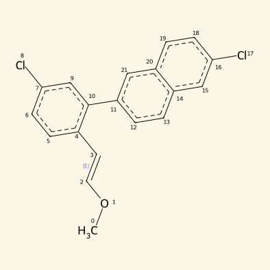 CO/C=C/c1ccc(Cl)cc1-c1ccc2cc(Cl)ccc2c1